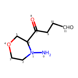 NN1CCOCC1C(=O)CCC=O